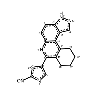 O=Nc1ncc(-c2nc3ccc4[nH]ncc4c3c3c2CCCC3)s1